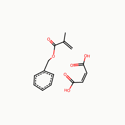 C=C(C)C(=O)OCc1ccccc1.O=C(O)/C=C\C(=O)O